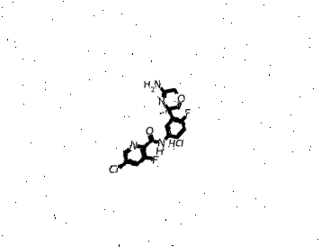 C[C@@]1(c2cc(NC(=O)c3ncc(Cl)cc3F)ccc2F)COCC(N)=N1.Cl